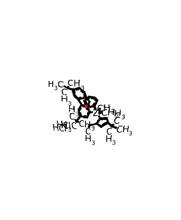 Cl.Cl.[CH2]=[Zr]([CH3])([C]1=CC(C(C)(C)C)=CC1CC)([c]1ccccc1)[c]1cc(C(C)(C)C)cc2c1Cc1ccc(C(C)(C)C)cc1-2